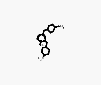 Nc1ccc(CC2CCC(N)CC2)cc1CC1CCC(N)CC1